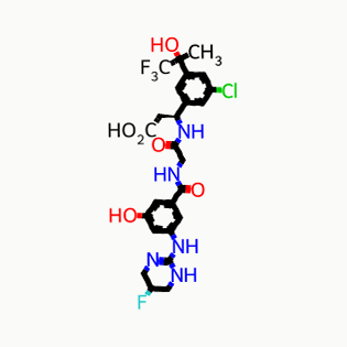 CC(O)(c1cc(Cl)cc([C@H](CC(=O)O)NC(=O)CNC(=O)c2cc(O)cc(NC3=NCC(F)CN3)c2)c1)C(F)(F)F